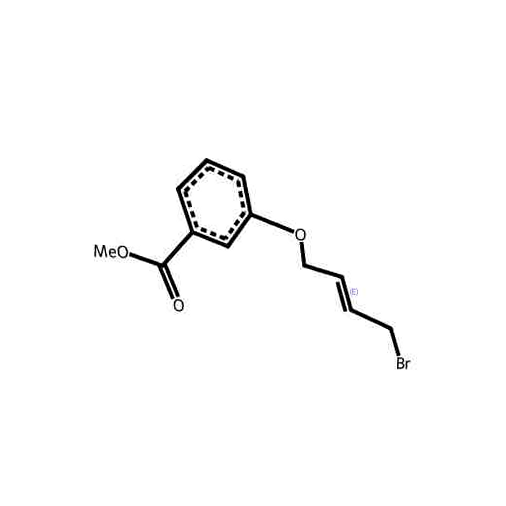 COC(=O)c1cccc(OC/C=C/CBr)c1